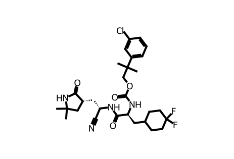 CC1(C)C[C@@H](C[C@@H](C#N)NC(=O)[C@H](CC2CCC(F)(F)CC2)NC(=O)OCC(C)(C)c2cccc(Cl)c2)C(=O)N1